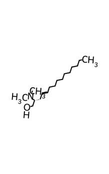 CCCCCCCCCC/C=C/C[C@H](CO)N(C)C